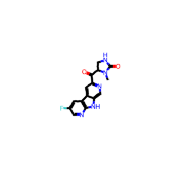 CN1C(=O)NCC1C(=O)c1cc2c(cn1)[nH]c1ncc(F)cc12